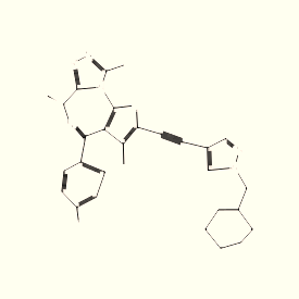 Cc1c(C#Cc2cnn(CC3CCCCC3)c2)sc2c1C(c1ccc(Cl)cc1)=N[C@@H](C)c1nnc(C)n1-2